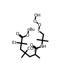 CCCCOC(=O)C(C)(CC)CC(C)(CC(C)C(=O)NC(C)(C)CSOOO)C(=O)O